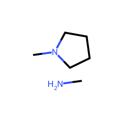 CN.CN1CCCC1